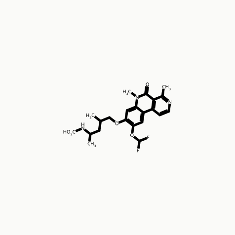 Cc1nccc2c1c(=O)n(C)c1cc(OCC(C)CC(C)NC(=O)O)c(OC(F)F)cc21